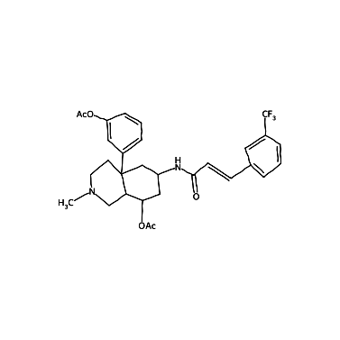 CC(=O)Oc1cccc(C23CCN(C)CC2C(OC(C)=O)CC(NC(=O)/C=C/c2cccc(C(F)(F)F)c2)C3)c1